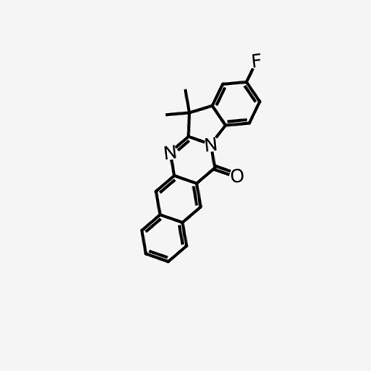 CC1(C)c2cc(F)ccc2-n2c1nc1cc3ccccc3cc1c2=O